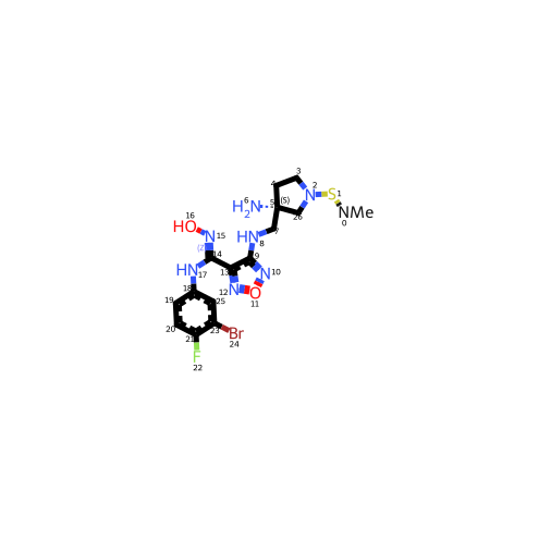 CNSN1CC[C@](N)(CNc2nonc2/C(=N/O)Nc2ccc(F)c(Br)c2)C1